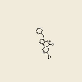 O=c1[nH]c2c(Cc3ccccc3)cnn2c2cnc(C3CC3)cc12